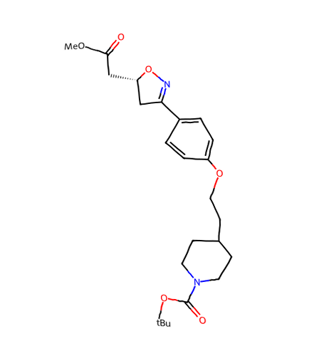 COC(=O)C[C@H]1CC(c2ccc(OCCC3CCN(C(=O)OC(C)(C)C)CC3)cc2)=NO1